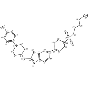 CCCc1cnc(N2CCC(Oc3nc4ccc(C5=CCN(S(=O)(=O)CCCCO)CC5)cc4s3)CC2)nc1